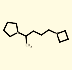 CC(CCCN1CCC1)N1CCCC1